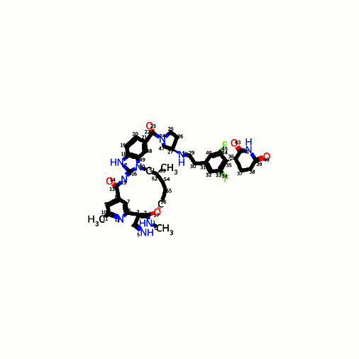 CN/C1=C(\C=N)c2cc(cc(C)n2)C(=O)/N=C2\Nc3ccc(C(=O)N4CC[C@@H](NCCc5cc(F)c([C@H]6CCC(=O)NC6=O)c(F)c5)C4)cc3N2C[C@H](C)CCCO1